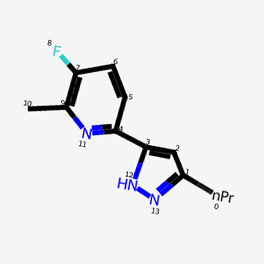 CCCc1cc(-c2ccc(F)c(C)n2)[nH]n1